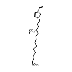 C=CN1C=CN(CCCCCCCCCCCCCCCCCCCCCCCC)C1.CC(=O)O